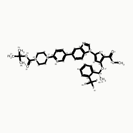 COC(=O)c1sc(-n2cnc3cc(-c4ccc(N5CCN(C(=O)OC(C)(C)C)CC5)nc4)ccc32)cc1O[C@H](C)c1ccccc1C(F)(F)F